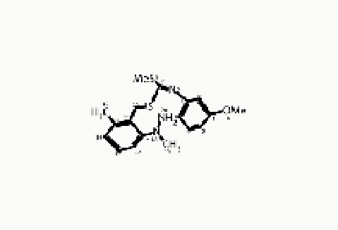 COc1cccc(/N=C(/SC)SCc2c(C)cccc2N(C)N)c1